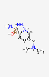 CN(C)Cc1ccc([SH](N)(N)=O)nc1